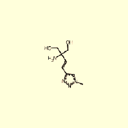 Cn1cc(/C=C/C(N)(CO)CO)nn1